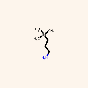 [CH3][Sn]([CH3])([CH3])[CH2]CCN